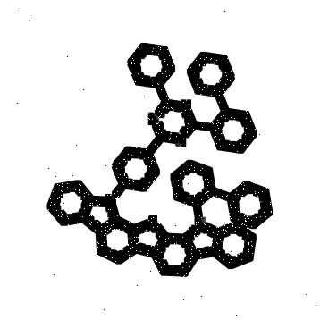 c1ccc(-c2nc(-c3ccc(-n4c5ccccc5c5ccc6c7ccc8c9ccccc9n(-c9ccccc9-c9ccccc9)c8c7sc6c54)cc3)nc(-c3ccccc3-c3ccccc3)n2)cc1